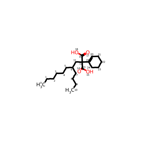 CCCCCCC(CCCC)CC(C(=O)O)(C(=O)O)C1=CCCCC1